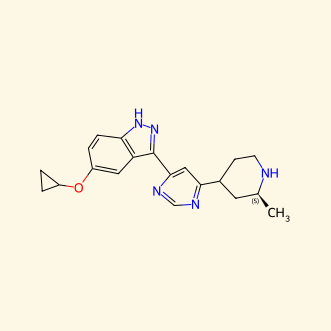 C[C@H]1CC(c2cc(-c3n[nH]c4ccc(OC5CC5)cc34)ncn2)CCN1